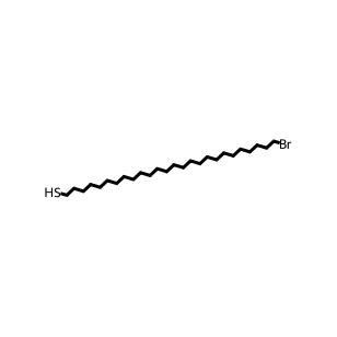 SCCCCCCCCCCCCCCCCCCCCCCCCCCBr